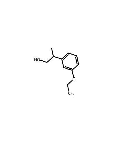 [CH2]C(CO)c1cccc(OCC(F)(F)F)c1